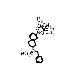 CC1(C)OB(c2ccc3c(c2)CC(N(Cc2ccccc2)C(=O)O)CC3)OC1(C)C